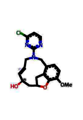 COc1ccc2c3c1OC(C3)C[C@@H](O)/C=C/CN(c1nccc(Cl)n1)C2